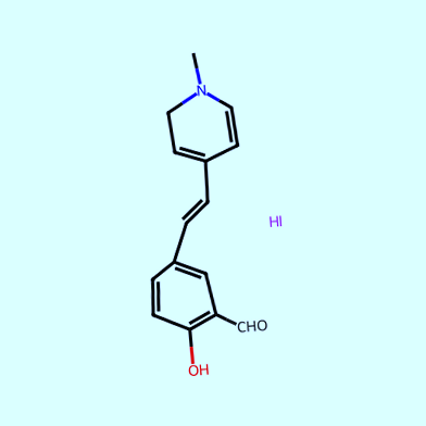 CN1C=CC(/C=C/c2ccc(O)c(C=O)c2)=CC1.I